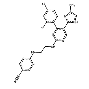 N#Cc1ccc(NCCNc2ncc(-c3nc(N)c[nH]3)c(-c3ccc(Cl)cc3Cl)n2)nc1